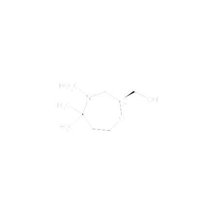 CC1(C)CCO[C@H](CO)CN1C(=O)O